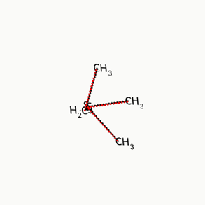 [CH2]c1cc(SCCCCCCCCCCCCCCCCCCCCCCCCCCCC)c(SCCCCCCCCCCCCCCCCCCCCCCCCCCCC)c(SCCCCCCCCCCCCCCCCCCCCCCCCCCCC)c1